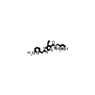 C=Cc1c(C(=O)N(N)Cc2cc[nH]n2)n(C)c2nc(Cc3cccc(N)n3)sc12